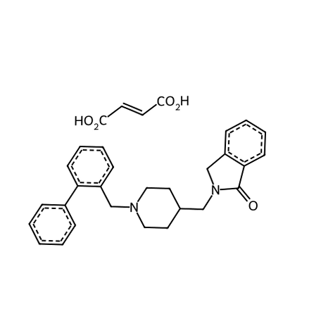 O=C(O)C=CC(=O)O.O=C1c2ccccc2CN1CC1CCN(Cc2ccccc2-c2ccccc2)CC1